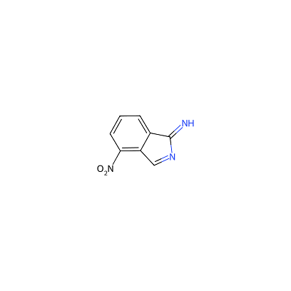 N=C1N=Cc2c1cccc2[N+](=O)[O-]